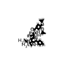 C[C@@]1(N=NN)CNc2c1cc([C@](O)(CNC(=O)c1ccc(OC3CC3)c(OC3CC3)c1)C(F)(F)F)nc2-c1ccc(F)cc1